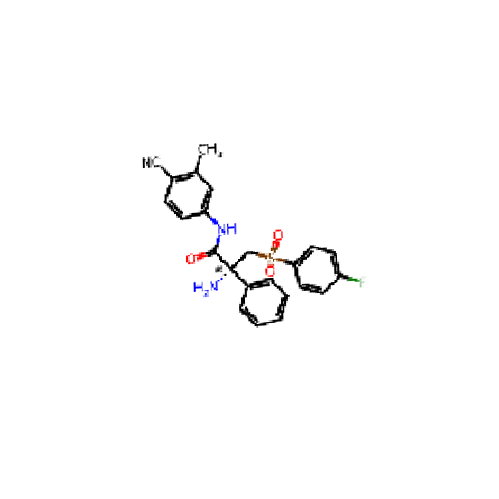 Cc1cc(NC(=O)[C@@](N)(CS(=O)(=O)c2ccc(F)cc2)c2ccccc2)ccc1C#N